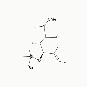 C/C=C(\C)[C@@H](O[Si](C)(C)C(C)(C)C)[C@H](C)C(=O)N(C)OC